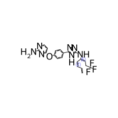 C=C/C=C\C(=C/CC(F)(F)F)Nc1nnc(-c2ccc(Oc3ccnc(N)n3)cc2)[nH]1